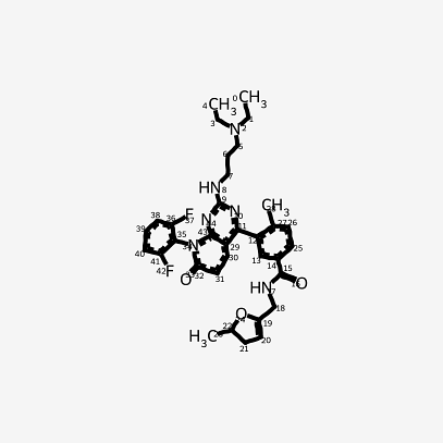 CCN(CC)CCCNc1nc(-c2cc(C(=O)NCC3=CCC(C)O3)ccc2C)c2ccc(=O)n(-c3c(F)cccc3F)c2n1